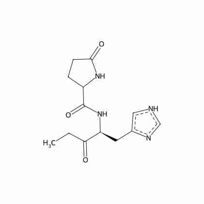 CCC(=O)[C@H](Cc1c[nH]cn1)NC(=O)C1CCC(=O)N1